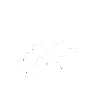 C[C@@H](Nc1nn(C)c(=O)c2cc(=O)n(C(C)(C)C(F)(F)F)cc12)c1cccc(C(F)(F)F)c1F